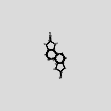 O=C1Cc2ccc3c4c(ccc3c2S1)CC(=O)S4